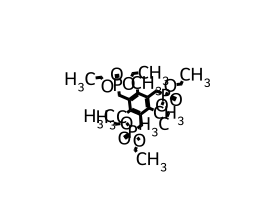 CCOP(=O)(Cc1c(C)c(CP(=O)(OCC)OCC)c(C)c(CP(=O)(OCC)OCC)c1C)OCC